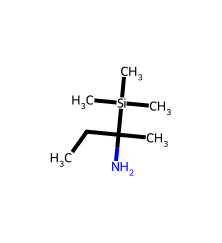 CCC(C)(N)[Si](C)(C)C